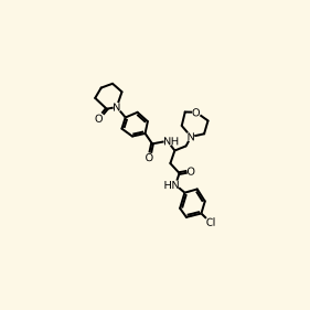 O=C(CC(CN1CCOCC1)NC(=O)c1ccc(N2CCCCC2=O)cc1)Nc1ccc(Cl)cc1